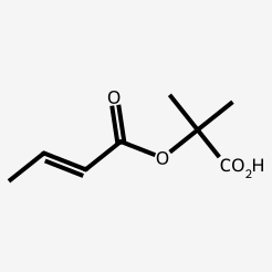 CC=CC(=O)OC(C)(C)C(=O)O